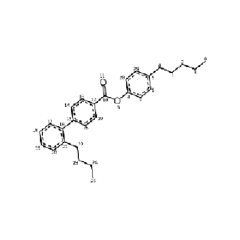 CCCCCc1ccc(OC(=O)c2ccc(-c3ccccc3CCCC)cc2)cc1